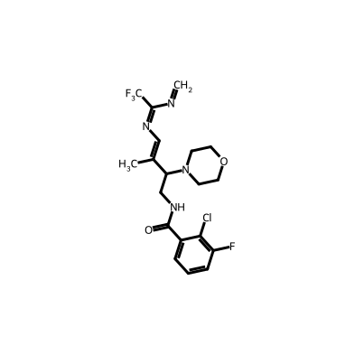 C=N/C(=N\C=C(/C)C(CNC(=O)c1cccc(F)c1Cl)N1CCOCC1)C(F)(F)F